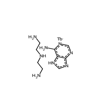 NCCNCCN.Nc1ncnc2nc[nH]c12.[Tb]